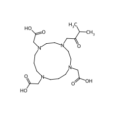 CC(C)C(=O)CN1CCN(CC(=O)O)CCCN(CC(=O)O)CCCN(CC(=O)O)CC1